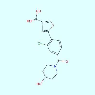 O=C(c1ccc(-c2cc(B(O)O)cs2)c(Cl)c1)N1CCC(O)CC1